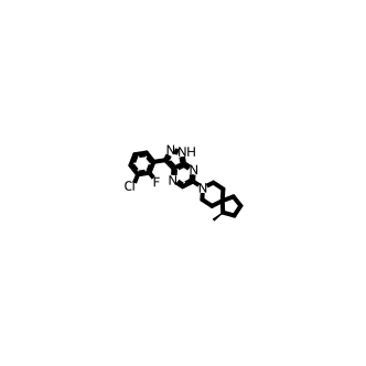 C[C@@H]1CCCC12CCN(c1cnc3c(-c4cccc(Cl)c4F)n[nH]c3n1)CC2